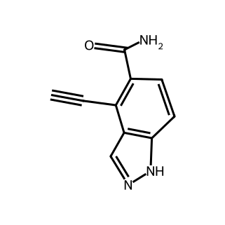 C#Cc1c(C(N)=O)ccc2[nH]ncc12